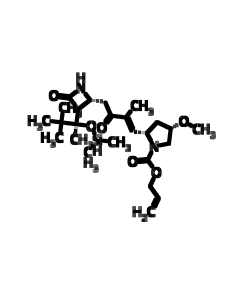 C=CCOC(=O)N1C[C@@H](OC)C[C@H]1/C=C(\C)C(=O)C[C@H]1NC(=O)[C@@H]1[C@@](C)(O[SiH](C)C)C(C)(C)C